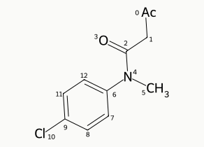 CC(=O)CC(=O)N(C)c1ccc(Cl)cc1